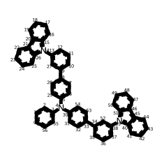 c1ccc(N(c2ccc(-c3cccc(-n4c5ccccc5c5ccccc54)c3)cc2)c2ccc(-c3cccc(-n4c5ccccc5c5ccccc54)c3)cc2)cc1